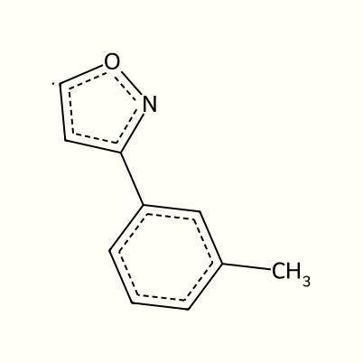 Cc1cccc(-c2c[c]on2)c1